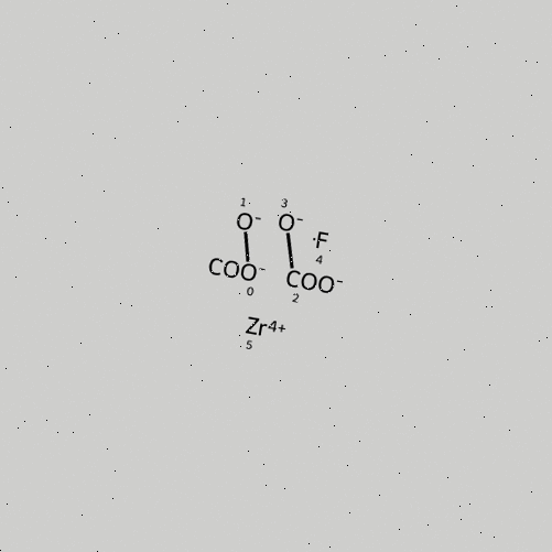 O=C([O-])[O-].O=C([O-])[O-].[F].[Zr+4]